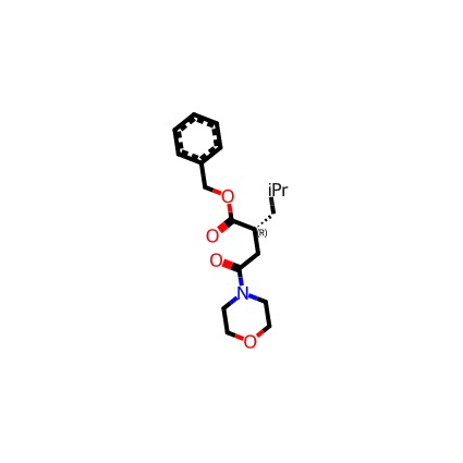 CC(C)C[C@H](CC(=O)N1CCOCC1)C(=O)OCc1ccccc1